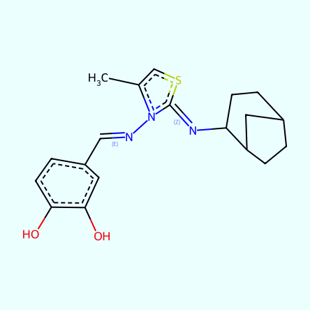 Cc1cs/c(=N\C2CCC3CCC2C3)n1/N=C/c1ccc(O)c(O)c1